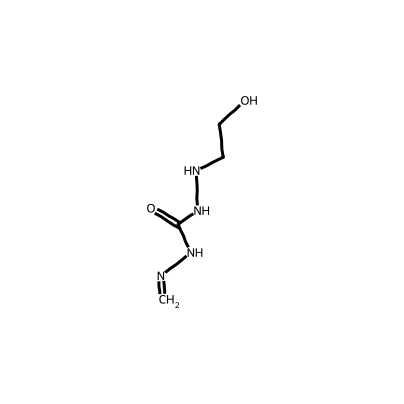 C=NNC(=O)NNCCO